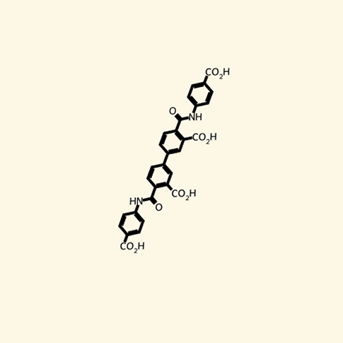 O=C(O)c1ccc(NC(=O)c2ccc(-c3ccc(C(=O)Nc4ccc(C(=O)O)cc4)c(C(=O)O)c3)cc2C(=O)O)cc1